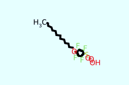 CCCCCCCCCCCCCCOc1c(F)c(F)c(SOOO)c(F)c1F